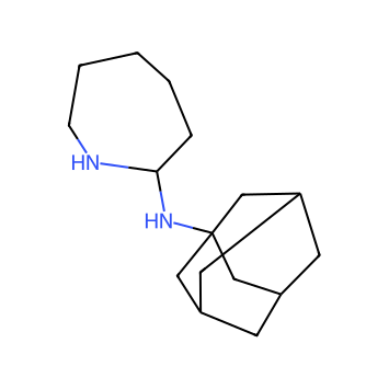 C1CCNC(NC23CC4CC(CC(C4)C2)C3)CC1